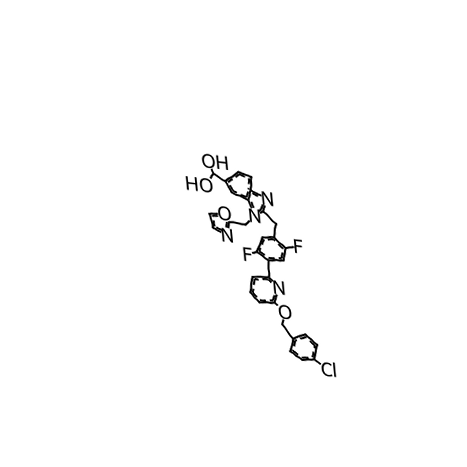 OC(O)c1ccc2nc(Cc3cc(F)c(-c4cccc(OCc5ccc(Cl)cc5)n4)cc3F)n(Cc3ncco3)c2c1